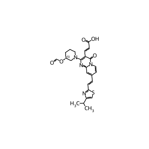 CC(C)c1csc(C=Cc2ccn3c(=O)c(C=CC(=O)O)c(N4CCC[C@H](OC=O)C4)nc3c2)n1